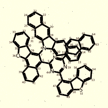 C1=CC(c2nc(-c3c(-n4c5cc6ccccc6cc5c5cc6ccccc6cc54)c4c5ccccc5oc4c4ccccc34)nc(-c3cccc4sc5ccccc5c34)n2)Cc2ccccc21